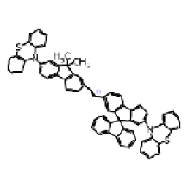 CC1(C)c2cc(/C=C/c3ccc4c(c3)C3(c5ccccc5-c5ccccc53)c3cc(N5c6ccccc6Sc6ccccc65)ccc3-4)ccc2-c2ccc(N3C4=C(CCC=C4)Sc4ccccc43)cc21